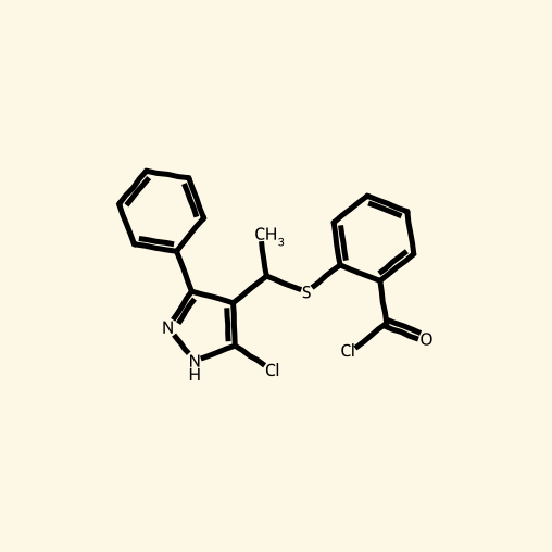 CC(Sc1ccccc1C(=O)Cl)c1c(-c2ccccc2)n[nH]c1Cl